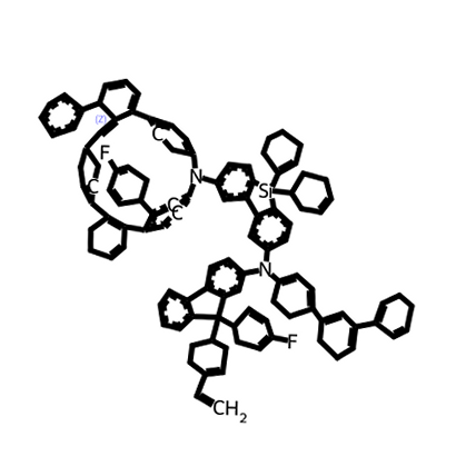 C=CC1=CCC(C2(C3C=CC(F)=CC3)c3ccccc3-c3ccc(N(C4=CC=C(C5=CC(C6=CCCC=C6)=CCC5)CC4)c4ccc5c(c4)-c4cc(N6C7=CC=C(CC7)C7=CC=CC(c8ccccc8)/C7=C/C7CC=C(CC7)C7=C(C=CCC7)c7ccc6cc7C6C=CC(F)=CC6)ccc4[Si]5(C4=CCCCC4)C4CC=CCC4)cc32)CC1